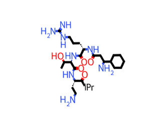 CC(C)C(=O)[C@H](CCN)NC(=O)[C@@H](NC(=O)[C@H](CCCNC(=N)N)NC(=O)CC(N)C1CCCCC1)C(C)O